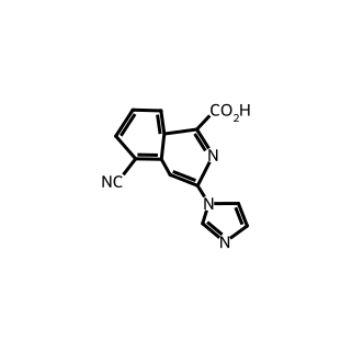 N#Cc1cccc2c(C(=O)O)nc(-n3ccnc3)cc12